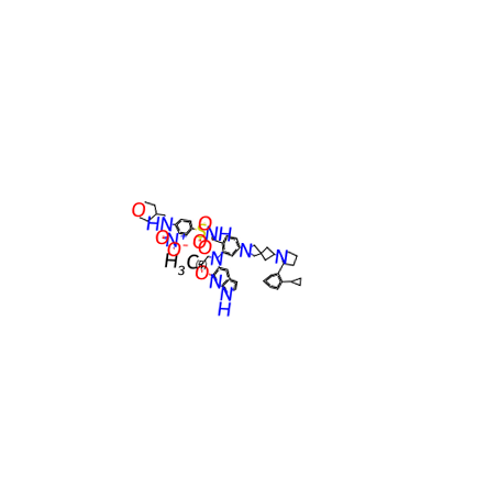 C[C@@H]1CN(c2cc(N3CC4(CC(N5CCCC5c5ccccc5C5CC5)C4)C3)ccc2C(=O)NS(=O)(=O)c2ccc(NCC3CCOCC3)c([N+](=O)[O-])c2)c2cc3cc[nH]c3nc2O1